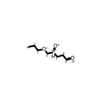 CCCOC[PH](=O)CCC=O